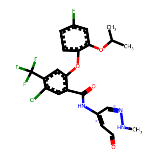 CN/N=C\C(=C/C=O)NC(=O)c1cc(Cl)c(C(F)(F)F)cc1Oc1ccc(F)cc1OC(C)C